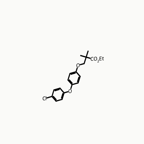 CCOC(=O)C(C)(C)COc1ccc(Oc2ccc(Cl)cc2)cc1